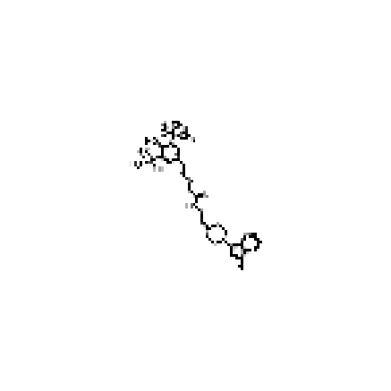 CC(C)(C)c1cc(C=CC=CC(=O)NCCN2CCC(c3c[nH]c4ccccc34)CC2)cc(C(C)(C)C)c1O